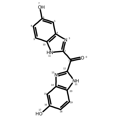 O=C(c1nc2cc(O)ccc2[nH]1)c1nc2cc(O)ccc2[nH]1